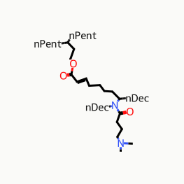 CCCCCCCCCCC(CCCCC=CC(=O)OCCC(CCCCC)CCCCC)N(CCCCCCCCCC)C(=O)CCCN(C)C